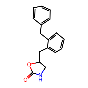 O=C1NCC(Cc2ccccc2Cc2ccccc2)O1